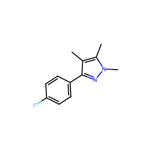 Cc1c(-c2ccc(F)cc2)nn(C)c1C